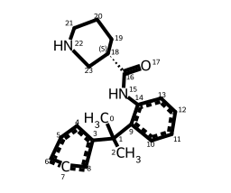 CC(C)(c1ccccc1)c1ccccc1NC(=O)[C@H]1CCCNC1